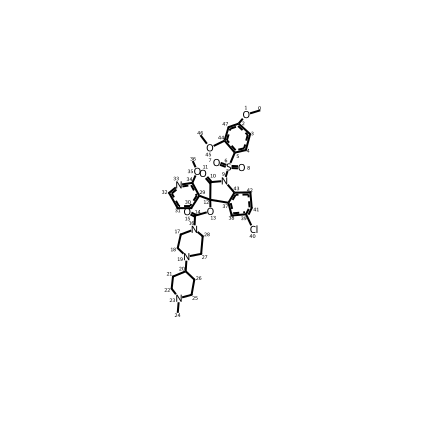 COc1ccc(S(=O)(=O)N2C(=O)C(OC(=O)N3CCN(C4CCN(C)CC4)CC3)(c3cccnc3OC)c3cc(Cl)ccc32)c(OC)c1